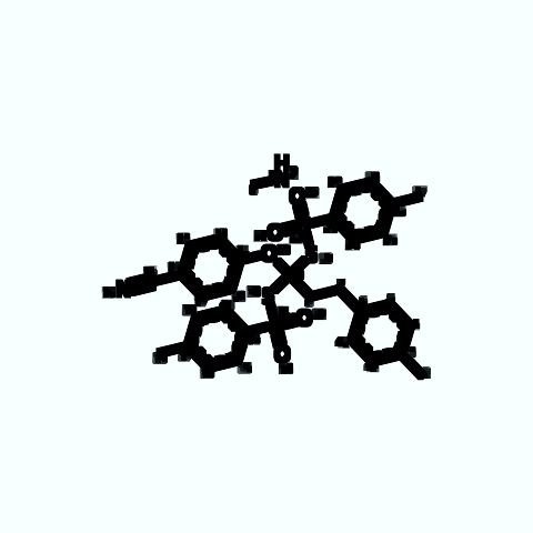 CN.Cc1ccc(CCC(Oc2ccc(C#N)cc2)(SS(=O)(=O)c2ccc(C)cc2)SS(=O)(=O)c2ccc(C)cc2)cc1